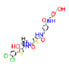 C/C(=N\NC(=O)c1ccc(C(=O)NCc2ccc(C(=O)NCCOCCO)cc2)s1)c1csc(-c2ccc(Cl)c(Cl)c2)c1O